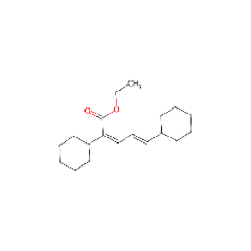 CCOC(=O)C(=CC=CC1CCCCC1)C1CCCCC1